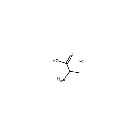 CC([SiH3])C(=O)O.[NaH]